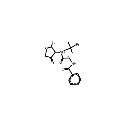 CCC1OCC(=O)C1NC(=O)[C@H](CC(C)(C)C(C)C)NC(=O)c1ccccc1